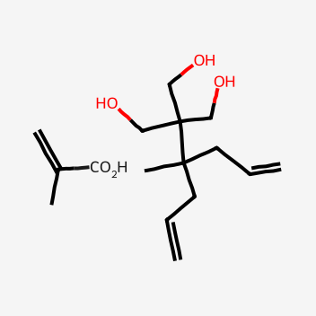 C=C(C)C(=O)O.C=CCC(C)(CC=C)C(CO)(CO)CO